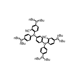 CCCCN(CCCC)c1ccc(N(c2ccc(N(c3ccc(N(CCCC)CCCC)cc3)c3ccc(N(CCCC)CCCC)cc3C#N)cc2)c2ccc(N(CCCC)CCCC)cc2C#N)cc1